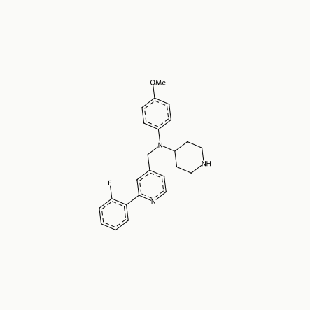 COc1ccc(N(Cc2ccnc(-c3ccccc3F)c2)C2CCNCC2)cc1